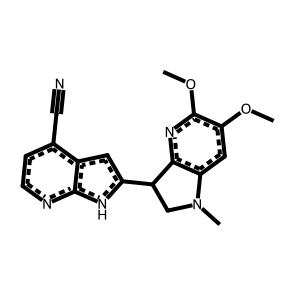 COc1cc2c(nc1OC)C(c1cc3c(C#N)ccnc3[nH]1)CN2C